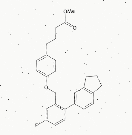 COC(=O)CCCc1ccc(OCc2cc(F)ccc2-c2ccc3c(c2)CCC3)cc1